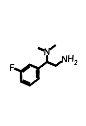 CN(C)C(CN)c1cccc(F)c1